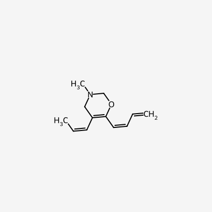 C=C/C=C\C1=C(/C=C\C)CN(C)CO1